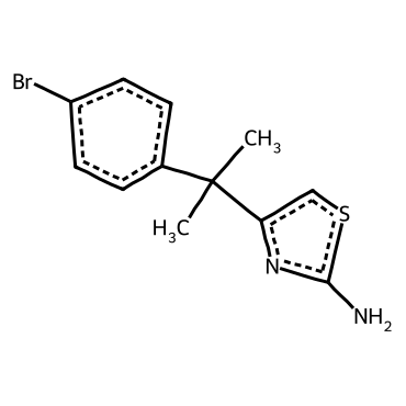 CC(C)(c1ccc(Br)cc1)c1csc(N)n1